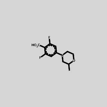 CC1CN(c2cc(F)c(C(=O)O)c(F)c2)CCO1